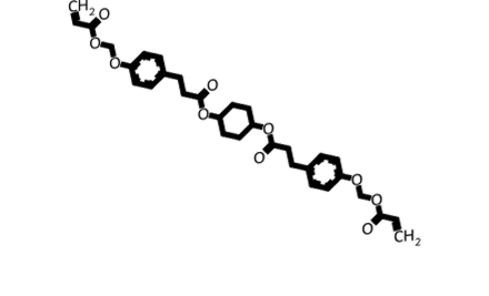 C=CC(=O)OCOc1ccc(CCC(=O)OC2CCC(OC(=O)CCc3ccc(OCOC(=O)C=C)cc3)CC2)cc1